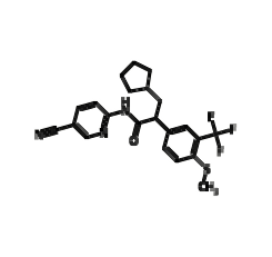 CSc1ccc(C(CC2CCCC2)C(=O)Nc2ccc(C#N)cn2)cc1C(F)(F)F